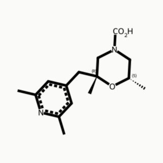 Cc1cc(C[C@]2(C)CN(C(=O)O)C[C@H](C)O2)cc(C)n1